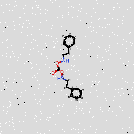 O=C(ONCCc1ccccc1)ONCCc1ccccc1